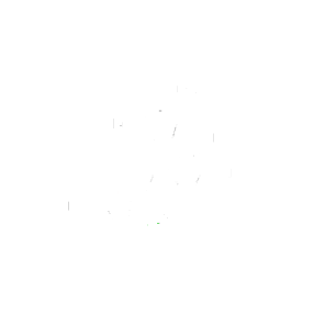 Cc1ccc(C2=Cc3c(cc(C)c(C)c3-c3cc(C(C)(C)C)cc(C(C)(C)C)c3)[CH]2[Zr]([Cl])[Cl])o1